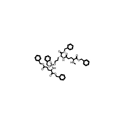 CNC(CCC(=O)N[C@H](CCCO[P@](=O)(NC(CCC(=O)OCc1ccccc1)C(=O)OCc1ccccc1)OCc1ccccc1)C(=O)OCc1ccccc1)C(=O)OCc1ccccc1